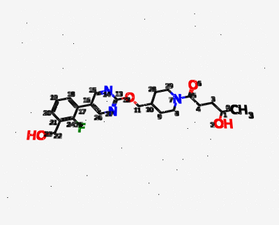 CC(O)CCC(=O)N1CCC(COc2ncc(-c3cccc(CO)c3F)cn2)CC1